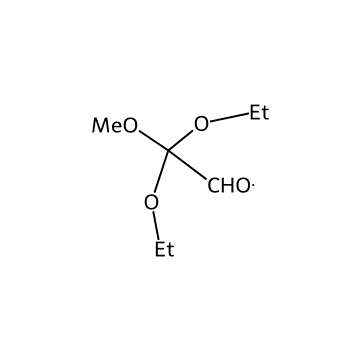 CCOC([C]=O)(OC)OCC